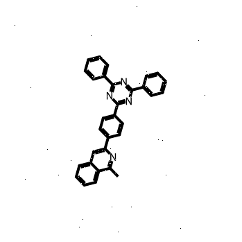 Cc1nc(-c2ccc(-c3nc(-c4ccccc4)nc(-c4ccccc4)n3)cc2)cc2ccccc12